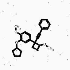 COc1ccc(C2(C#Cc3ccccc3)C[C]C2OC)cc1OC1CCCC1